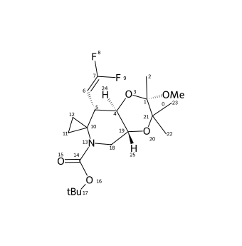 CO[C@@]1(C)O[C@@H]2[C@@H](C=C(F)F)C3(CC3)N(C(=O)OC(C)(C)C)C[C@H]2OC1(C)C